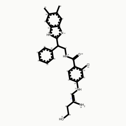 Cc1cc2nc(C(CNC(=O)c3ccc(N/C=C(\N)CCO)cc3Cl)c3ccccc3)[nH]c2cc1C